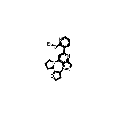 CCOc1ncccc1-c1cc(N2CCCC2)c2c(cnn2C2CCOC2)n1